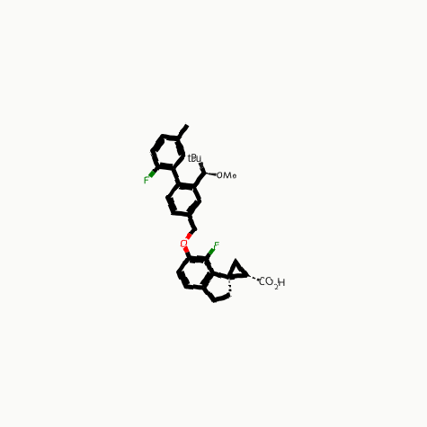 CO[C@@H](c1cc(COc2ccc3c(c2F)[C@@]2(CC3)C[C@@H]2C(=O)O)ccc1-c1cc(C)ccc1F)C(C)(C)C